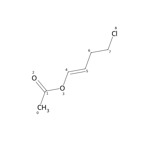 CC(=O)O/C=C/CCCl